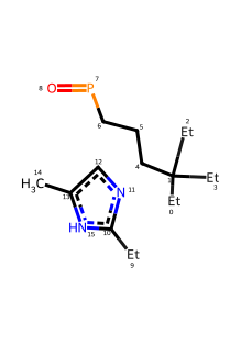 CCC(CC)(CC)CCCP=O.CCc1ncc(C)[nH]1